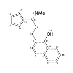 CN[C@H](CCc1ccc2ccccc2c1O)c1cccs1